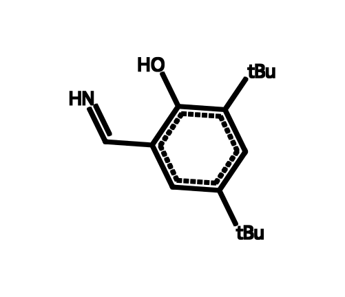 CC(C)(C)c1cc(C=N)c(O)c(C(C)(C)C)c1